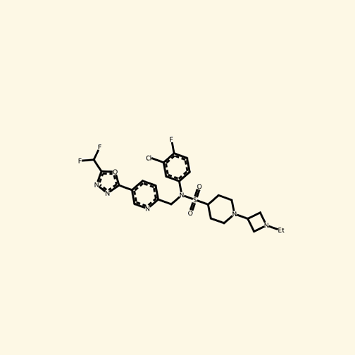 CCN1CC(N2CCC(S(=O)(=O)N(Cc3ccc(-c4nnc(C(F)F)o4)cn3)c3ccc(F)c(Cl)c3)CC2)C1